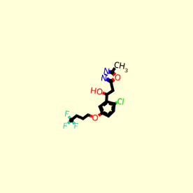 Cc1nnc(CC(O)c2cc(OCCCC(F)(F)F)ccc2Cl)o1